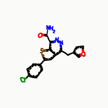 NC(=O)c1nnc(Cc2ccoc2)c2cc(-c3ccc(Cl)cc3)sc12